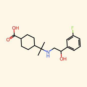 CC(C)(NCC(O)c1cccc(F)c1)C1CCC(C(=O)O)CC1